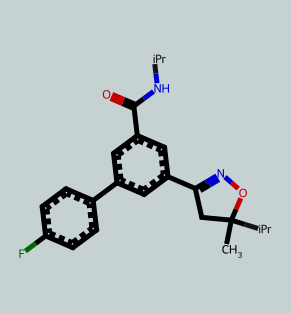 CC(C)NC(=O)c1cc(C2=NOC(C)(C(C)C)C2)cc(-c2ccc(F)cc2)c1